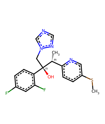 CSc1ccc([C@@H](C)[C@@](O)(Cn2cncn2)c2ccc(F)cc2F)nc1